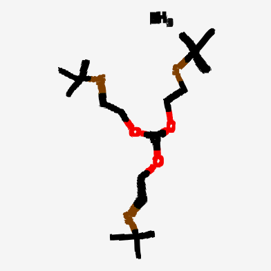 B.CC(C)(C)SCCOB(OCCSC(C)(C)C)OCCSC(C)(C)C